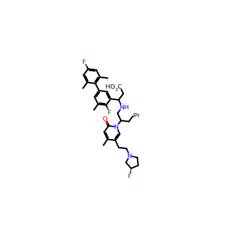 Cc1cc(=O)n(C(CNC(CC(=O)O)c2cc(-c3c(C)cc(F)cc3C)cc(C)c2F)CC(C)C)cc1CCN1CC[C@@H](F)C1